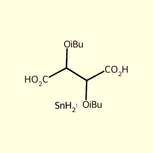 CC(C)COC(C(=O)O)C(OCC(C)C)C(=O)O.[SnH2]